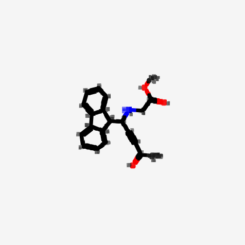 CCCOC(=O)CNC(C#CC(=O)OC)C1c2ccccc2-c2ccccc21